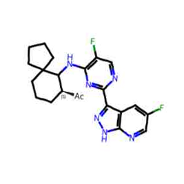 CC(=O)[C@H]1CCCC2(CCCC2)C1Nc1nc(-c2n[nH]c3ncc(F)cc23)ncc1F